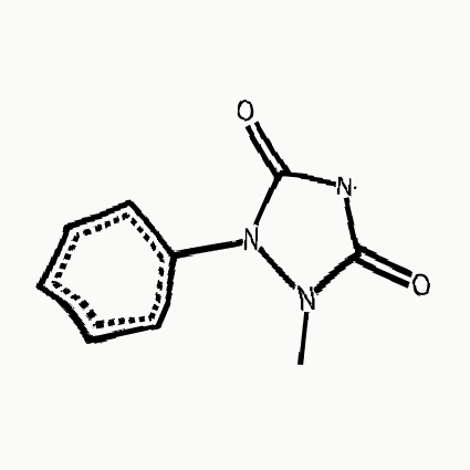 CN1C(=O)[N]C(=O)N1c1ccccc1